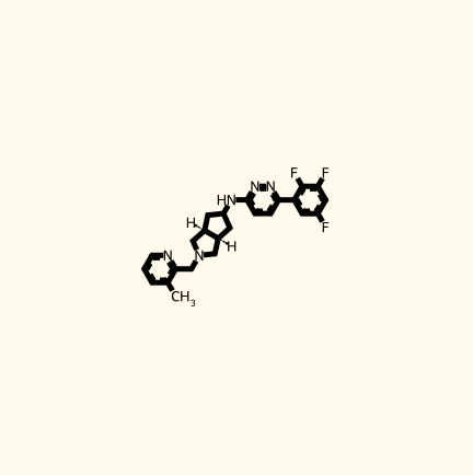 Cc1cccnc1CN1C[C@H]2CC(Nc3ccc(-c4cc(F)cc(F)c4F)nn3)C[C@H]2C1